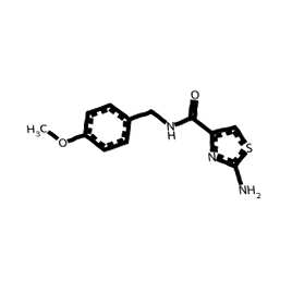 COc1ccc(CNC(=O)c2csc(N)n2)cc1